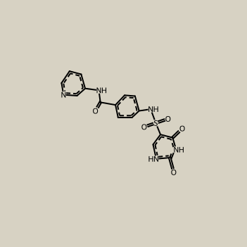 O=C(Nc1cccnc1)c1ccc(NS(=O)(=O)c2c[nH]c(=O)[nH]c2=O)cc1